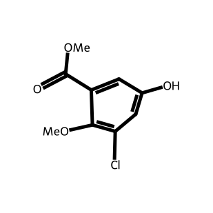 COC(=O)c1cc(O)cc(Cl)c1OC